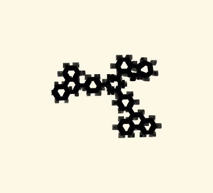 c1ccc2c(c1)cc(-c1ccc(-c3nc(-c4ccc(-c5cc6ccccc6c6ccccc56)cc4)nc(-c4cccc5c4sc4ccccc45)n3)cc1)c1ccccc12